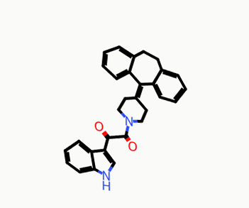 O=C(C(=O)N1CCC(=C2c3ccccc3CCc3ccccc32)CC1)c1c[nH]c2ccccc12